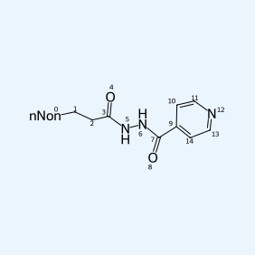 CCCCCCCCCCCC(=O)NNC(=O)c1ccncc1